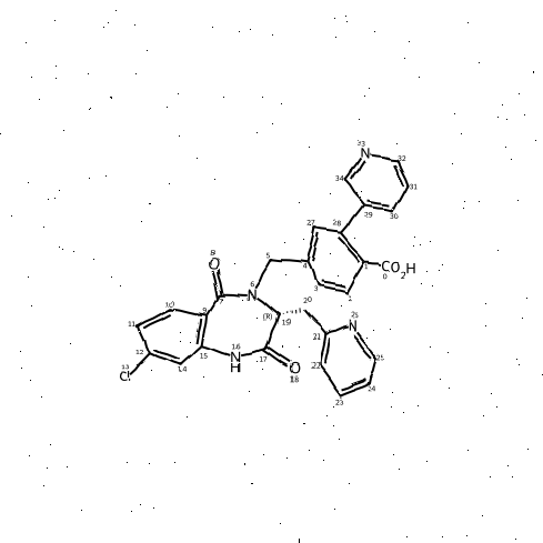 O=C(O)c1ccc(CN2C(=O)c3ccc(Cl)cc3NC(=O)[C@H]2Cc2ccccn2)cc1-c1cccnc1